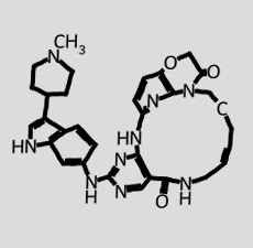 CN1CCC(c2c[nH]c3cc(Nc4ncc5c(n4)Nc4ccc6c(n4)N(CCC/C=C\CNC5=O)C(=O)CO6)ccc23)CC1